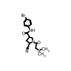 CN(C)CC(=O)N1CC(C(=O)Nc2ccc(Br)cc2)CC1C#N